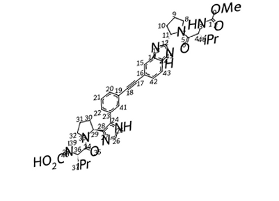 COC(=O)N[C@@H](C(=O)N1CCC[C@H]1c1nc2cc(C#Cc3cccc(-c4[nH]cnc4[C@@H]4CCCN4C(=O)[C@H](C(C)C)N(C)C(=O)O)c3)ccc2[nH]1)C(C)C